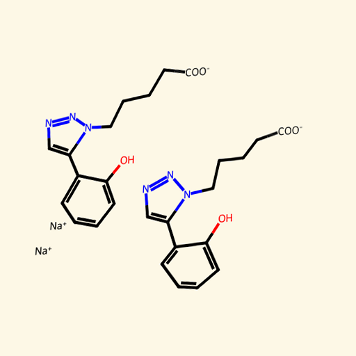 O=C([O-])CCCCn1nncc1-c1ccccc1O.O=C([O-])CCCCn1nncc1-c1ccccc1O.[Na+].[Na+]